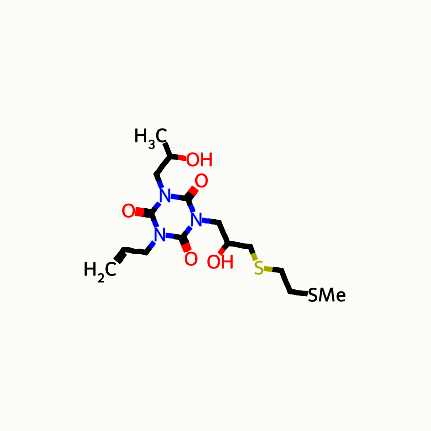 C=CCn1c(=O)n(CC(C)O)c(=O)n(CC(O)CSCCSC)c1=O